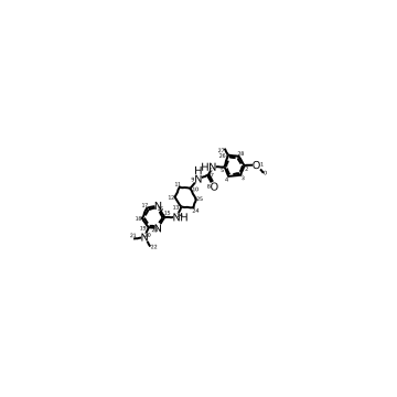 COc1ccc(NC(=O)NC2CCC(Nc3nccc(N(C)C)n3)CC2)c(C)c1